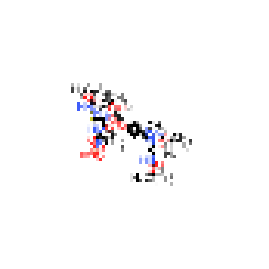 Cn1c(-c2ccc(OCC(O/N=C(\C(=O)N[C@@H]3C(=O)N(OS(=O)(=O)O)C3(C)C)c3csc(NC(=O)OC(C)(C)C)n3)C(=O)OC(C)(C)C)cc2)cn(CCCNC(=O)OC(C)(C)C)/c1=N\C(=O)OC(C)(C)C